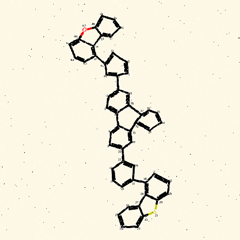 c1cc(-c2ccc3c4ccc(-c5cccc(-c6cccc7sc8ccccc8c67)c5)cc4c4ccccc4c3c2)cc(-c2cccc3oc4ccccc4c23)c1